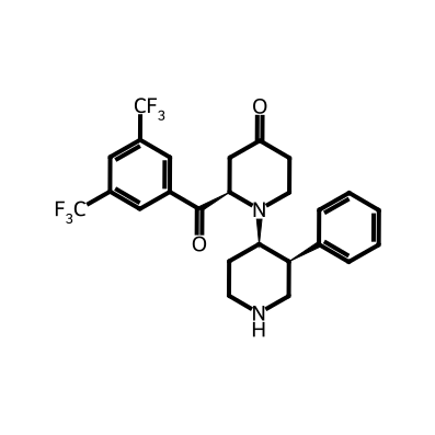 O=C1CCN([C@@H]2CCNC[C@@H]2c2ccccc2)[C@@H](C(=O)c2cc(C(F)(F)F)cc(C(F)(F)F)c2)C1